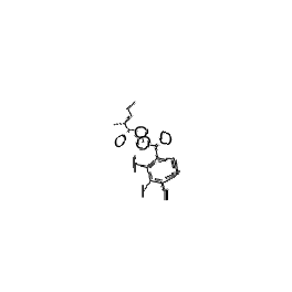 CCC=C(C)C(=O)OOC(=O)c1ccc(I)c(I)c1I